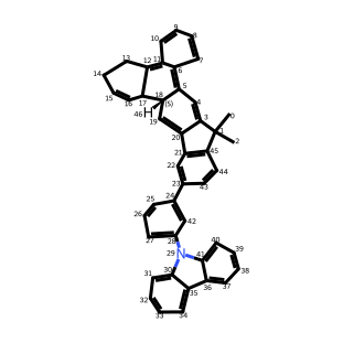 CC1(C)C2=CC3=c4ccccc4=C4CCC=CC4[C@H]3C=C2c2cc(-c3cccc(-n4c5ccccc5c5ccccc54)c3)ccc21